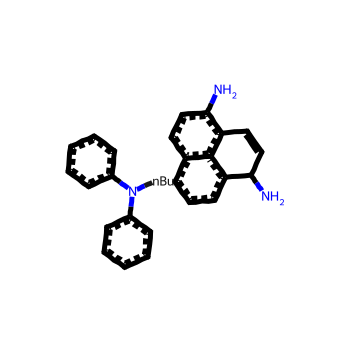 CCCCN(c1ccccc1)c1ccccc1.Nc1ccc2cccc3c2c1C=CC3N